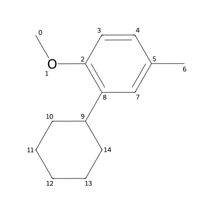 COc1ccc(C)cc1C1CCCCC1